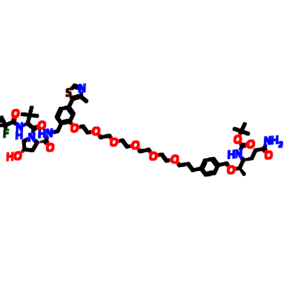 Cc1ncsc1-c1ccc(CNC(=O)[C@@H]2C[C@@H](O)CN2C(=O)[C@@H](NC(=O)C2(F)CC2)C(C)(C)C)c(OCCOCCOCCOCCOCCOCCCc2ccc(CO[C@H](C)[C@H](CCC(N)=O)NC(=O)OC(C)(C)C)cc2)c1